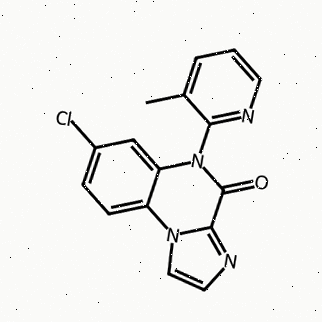 Cc1cccnc1-n1c(=O)c2nccn2c2ccc(Cl)cc21